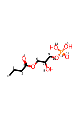 CCCC(=O)OCC(O)COP(=O)(O)O